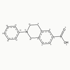 O=C(O)c1ccc2c(c1)CCN(c1ccccc1)C2